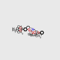 CC(C)(C)OC(=O)N(C[C@H]1CCc2cc(B3OC(C)(C)C(C)(C)O3)ccc2O1)C[C@@H](COc1ccccc1)O[Si](C)(C)C(C)(C)C